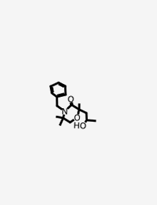 CC(O)CC1(C)OCC(C)(C)N(Cc2ccccc2)C1=O